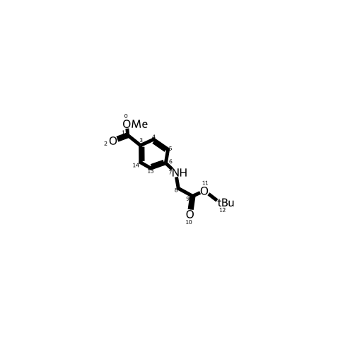 COC(=O)c1ccc(NCC(=O)OC(C)(C)C)cc1